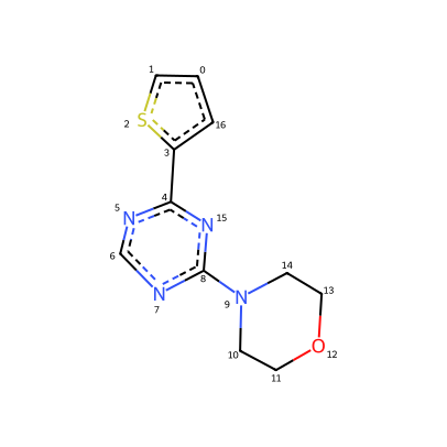 c1csc(-c2ncnc(N3CCOCC3)n2)c1